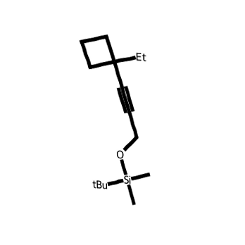 CCC1(C#CCO[Si](C)(C)C(C)(C)C)CCC1